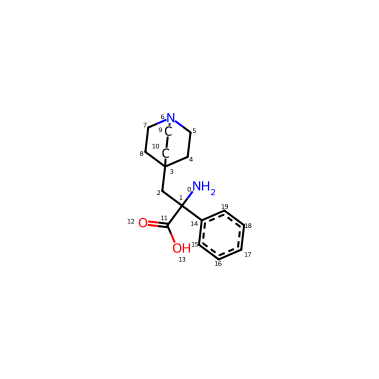 NC(CC12CCN(CC1)CC2)(C(=O)O)c1ccccc1